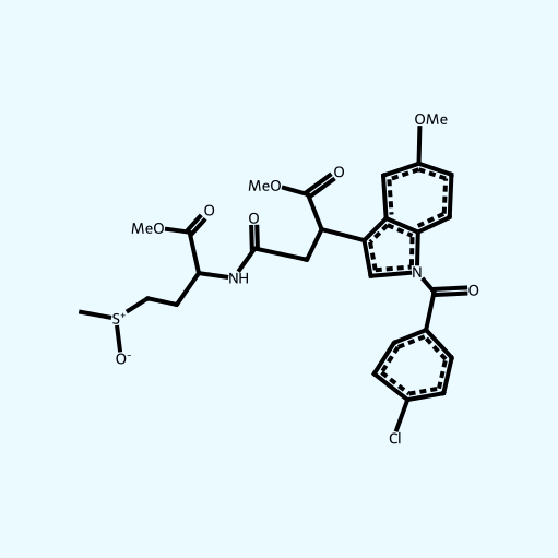 COC(=O)C(CC[S+](C)[O-])NC(=O)CC(C(=O)OC)c1cn(C(=O)c2ccc(Cl)cc2)c2ccc(OC)cc12